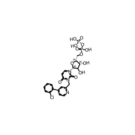 O=c1ccn([C@@H]2O[C@H](COP(=O)(O)OP(=O)(O)O)[C@H](O)C2O)c(=O)n1Cc1cc(-c2ccccc2Cl)ccn1